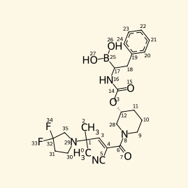 CC(C)(C=C(C#N)C(=O)N1CCC[C@@H](OC(=O)NC(Cc2ccccc2)B(O)O)C1)N1CCC(F)(F)C1